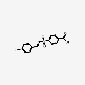 O=C(O)c1ccc(S(=O)(=O)/N=C/c2ccc(Cl)cc2)cc1